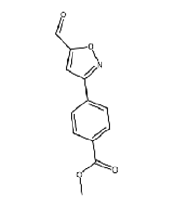 COC(=O)c1ccc(-c2cc(C=O)on2)cc1